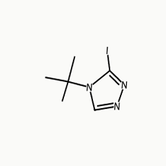 CC(C)(C)n1cnnc1I